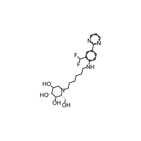 OC[C@@H]1[C@@H](O)[C@H](O)[C@@H](O)CN1CCCCCCNc1ccc(-c2ncccn2)cc1C(F)F